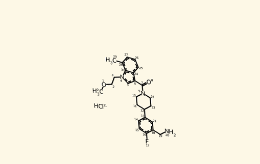 COCCn1cc(C(=O)N2CCC(c3ccc(F)c(CN)c3)CC2)c2cccc(C)c21.Cl